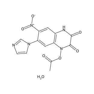 CC(=O)On1c(=O)c(=O)[nH]c2cc([N+](=O)[O-])c(-n3ccnc3)cc21.O